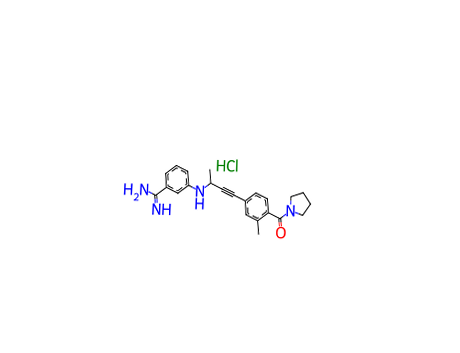 Cc1cc(C#CC(C)Nc2cccc(C(=N)N)c2)ccc1C(=O)N1CCCC1.Cl